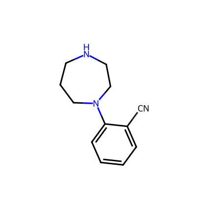 N#Cc1ccccc1N1CCCNCC1